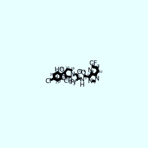 CC(C)C(NC(=O)c1ncnc2ccc(C(F)(F)F)nc12)C(=O)N1CCC(O)(c2ccc(Cl)cc2)C(C)(C)C1